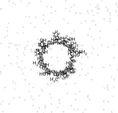 CCCC[C@H]1C(=O)N(C)CC(=O)N[C@@H](CC(=O)O)C(=O)N[C@@H](C(C)C)C(=O)N[C@@H](Cc2ccncc2)C(=O)N[C@@H](Cc2ccc(O)cc2)C(=O)N(C)CC(=O)N[C@@H](Cc2c[nH]c3ccccc23)C(=O)N[C@@H](Cc2ccc(O)cc2)C(=O)N[C@@H](CC(C)C)C(=O)N[C@H](C(=O)NCC(N)=O)CSCC(=O)N[C@@H](Cc2ccccc2)C(=O)N(C)C(Cc2ccccc2)C(=O)N1C